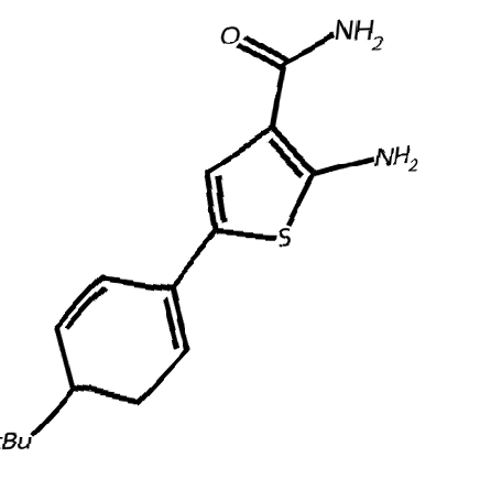 CC(C)(C)C1C=CC(c2cc(C(N)=O)c(N)s2)=CC1